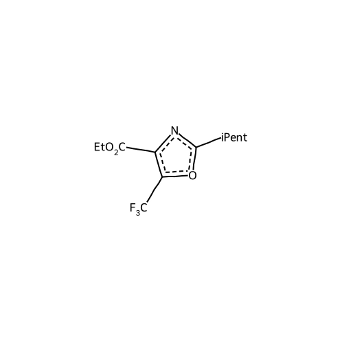 CCCC(C)c1nc(C(=O)OCC)c(C(F)(F)F)o1